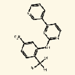 [2H]C([2H])([2H])c1ccc([N+](=O)[O-])cc1Nc1nccc(-c2cccnc2)n1